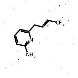 Nc1cccc(C/C=C/C(F)(F)F)n1